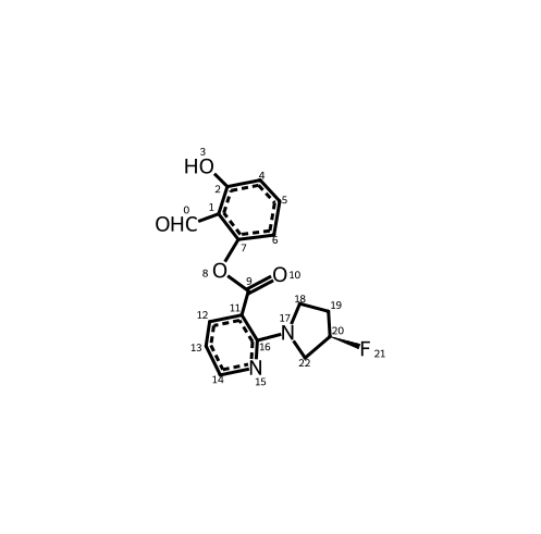 O=Cc1c(O)cccc1OC(=O)c1cccnc1N1CC[C@@H](F)C1